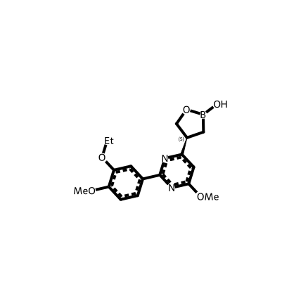 CCOc1cc(-c2nc(OC)cc([C@H]3COB(O)C3)n2)ccc1OC